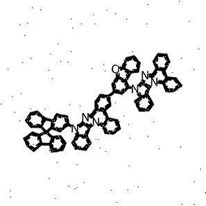 c1ccc2c(c1)-c1ccccc1C21c2ccccc2-c2ccc(-n3c4ccccc4c4c3nc3c5ccc(-c6cc(-n7c8ccccc8c8c7nc7c9ccccc9c9ccccc9n78)c7c(c6)oc6ccccc67)cc5c5ccccc5n34)cc21